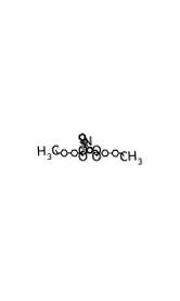 CCC1CCC(C2CCC(C(=O)Oc3ccc(OC(=O)[C@H]4CC[C@H](C5CCC(CC)CC5)CC4)cc3-c3nc4ccccc4s3)CC2)CC1